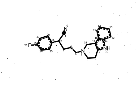 N#CC(CCCN1CCc2[nH]c3ccccc3c2C1)c1ccc(F)cc1